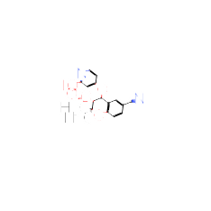 CC1(C)Oc2ccc(C#N)cc2C(Oc2ccnc(O)c2)C1OC=O